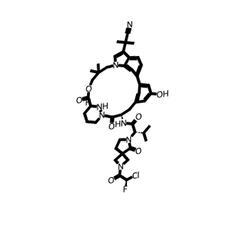 CC(C)[C@@H](C(=O)N[C@H]1Cc2cc(O)cc(c2)-c2ccc3c(C(C)(C)C#N)cn(c3c2)CC(C)(C)COC(=O)[C@@H]2CCCN(N2)C1=O)N1CCC2(CN(C(=O)[C@H](F)Cl)C2)C1=O